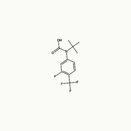 CC(C)(C)N(C(=O)O)c1ccc(C(F)(F)F)c(F)c1